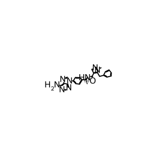 C[C@H](NC(=O)c1cnn(C)c1Cc1ccccc1)c1ccc(-n2cnc3c(N)ncnc32)cc1